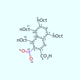 CCCCCCCCc1cc(CCCCCCCC)c2cc(C(=O)O)c(I(=O)=O)c(CCCCCCCC)c2c1CCCCCCCC